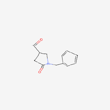 O=[C]C1CC(=O)N(Cc2ccccc2)C1